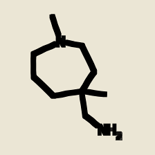 CN1CCCC(C)(CN)CC1